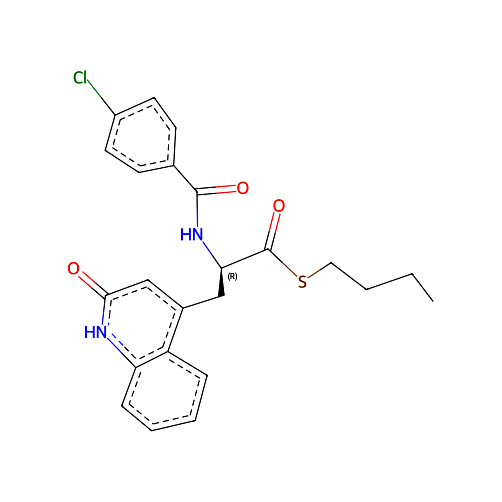 CCCCSC(=O)[C@@H](Cc1cc(=O)[nH]c2ccccc12)NC(=O)c1ccc(Cl)cc1